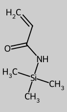 C=CC(=O)N[Si](C)(C)C